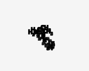 CC(C)(C)c1nc(N2CCC(C(F)(F)F)CC2)ccc1N